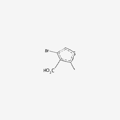 Cc1scc(Br)c1C(=O)O